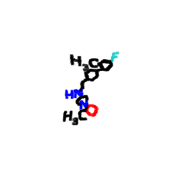 CC(=O)N1CCC(NCCC2CCC(c3ccc(F)cc3C)CC2)CC1